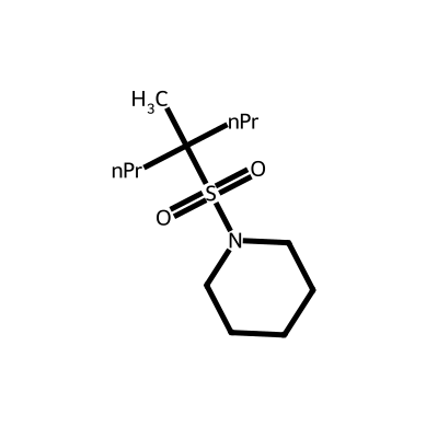 CCCC(C)(CCC)S(=O)(=O)N1CCCCC1